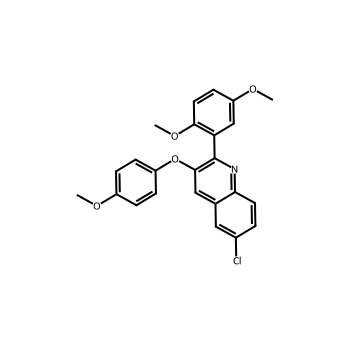 COc1ccc(Oc2cc3cc(Cl)ccc3nc2-c2cc(OC)ccc2OC)cc1